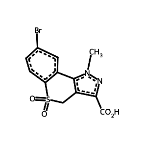 Cn1nc(C(=O)O)c2c1-c1cc(Br)ccc1S(=O)(=O)C2